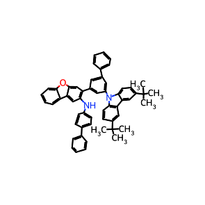 CC(C)(C)c1ccc2c(c1)c1cc(C(C)(C)C)ccc1n2-c1cc(-c2ccccc2)cc(-c2cc3oc4ccccc4c3cc2Nc2ccc(-c3ccccc3)cc2)c1